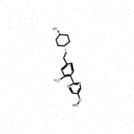 CCCCOc1cnc(-c2ccc(CC[C@H]3CC[C@H](CCC)CC3)cc2C)nc1